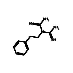 N=C(N)N(CCc1ccccc1)C(=N)N